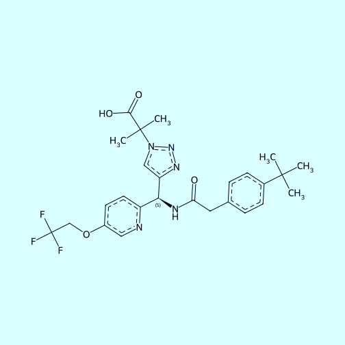 CC(C)(C)c1ccc(CC(=O)N[C@@H](c2ccc(OCC(F)(F)F)cn2)c2cn(C(C)(C)C(=O)O)nn2)cc1